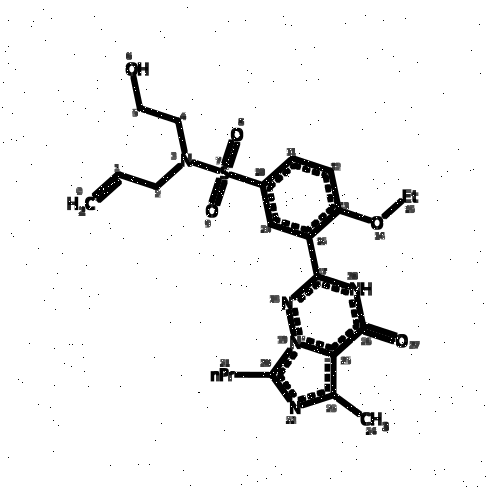 C=CCN(CCO)S(=O)(=O)c1ccc(OCC)c(-c2nn3c(CCC)nc(C)c3c(=O)[nH]2)c1